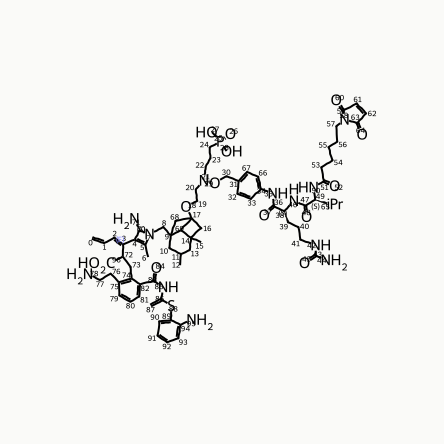 C=C/C=C(/C1=C(C)N(CC23CC(C)CC4(C)CC(OCCN(CCCP(=O)(O)O)OCc5ccc(NC(=O)[C@H](CCCNC(N)=O)NC(=O)[C@@H](NC(=O)CCCCCN6C(=O)C=CC6=O)C(C)C)cc5)(C2)C43)[C@@H]1N)C(Cc1c(CCN)cccc1C(=O)NC(=C)Sc1ccccc1N)C(=O)O